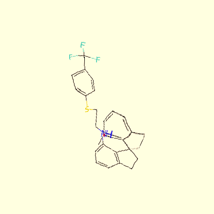 Cc1cccc2c1[C@@]1(CC2)CCc2cccc(NCCSc3ccc(C(F)(F)F)cc3)c21